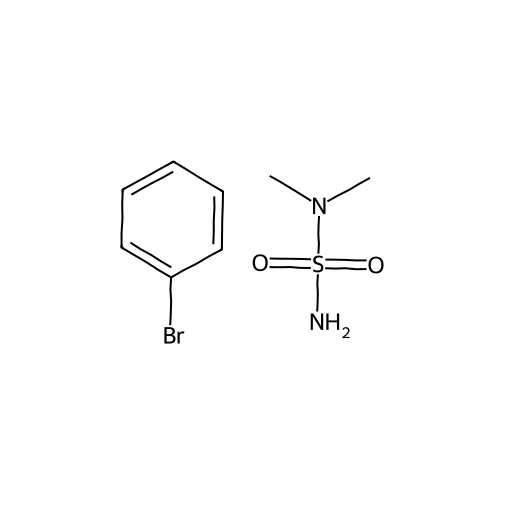 Brc1ccccc1.CN(C)S(N)(=O)=O